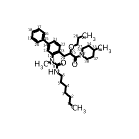 CCCCCCCNC(=O)N(C)c1cc(-c2ccccc2)ccc1CC(OCCC)C(=O)N1CCC(C)CC1